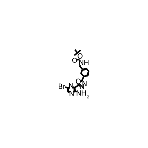 CC(C)(C)OC(=O)NCC1=CC=CC(c2nnc(-c3nc(Br)cnc3N)o2)C1